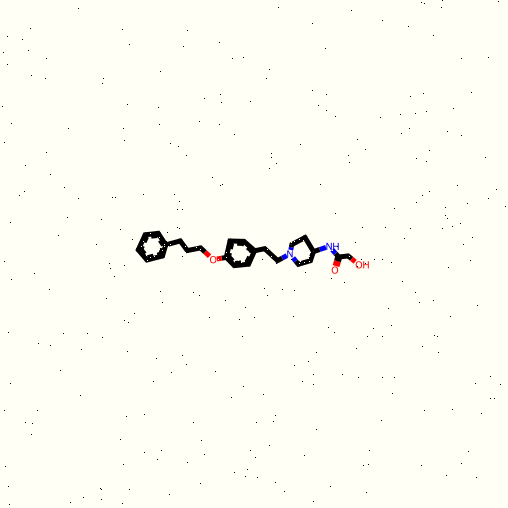 O=C(CO)NC1CCN(CCc2ccc(OCCCc3ccccc3)cc2)CC1